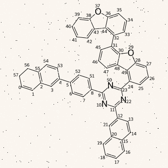 C1=Cc2cc(-c3ccc(-c4nc(-c5ccc6ccccc6c5)nc(-c5cccc6oc7c(-c8cccc9oc%10ccccc%10c89)cccc7c56)n4)cc3)ccc2CC1